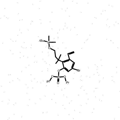 C=Cc1cc(Br)cc(OP(=O)(OC(C)C)OC(C)C)c1C(C)(C)CCO[Si](C)(C)C(C)(C)C